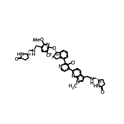 COc1nc(O[C@H]2CCc3c(-c4nccc(-c5ccc6c(CNC[C@@H]7CCC(=O)N7)cn(C)c6n5)c4Cl)cccc32)c(C(F)(F)F)cc1CNC[C@@H]1CCC(=O)N1